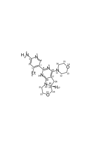 CCc1cc(N)ncc1-c1nc(N2CCOCC2)c2c(n1)N1CCOC[C@H]1C2